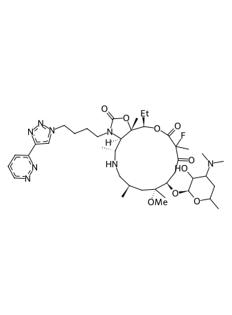 CC[C@H]1OC(=O)C(C)(F)C(=O)C[C@@H](O[C@@H]2OC(C)CC(N(C)C)C2O)[C@](C)(OC)C[C@@H](C)CN[C@H](C)[C@H]2N(CCCCn3cc(-c4cccnn4)nn3)C(=O)O[C@]12C